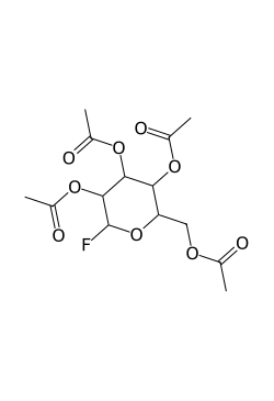 CC(=O)OCC1OC(F)C(OC(C)=O)C(OC(C)=O)C1OC(C)=O